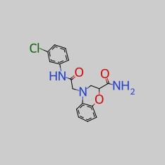 NC(=O)C1CN(CC(=O)Nc2cccc(Cl)c2)c2ccccc2O1